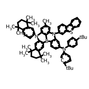 Cc1cc2c3c(c1)N(c1ccc4c(c1)C(C)(C)CCC4(C)C)c1cc4c(cc1B3c1ccc(N(c3ccc(C(C)(C)C)cc3)c3ccc(C(C)(C)C)cc3)cc1N2c1ccc2c(c1)sc1ccccc12)C(C)(C)CCC4(C)C